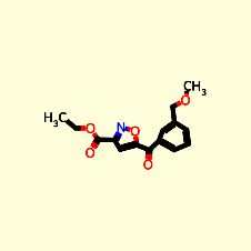 CCOC(=O)c1cc(C(=O)c2cccc(COC)c2)on1